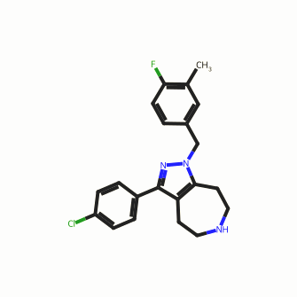 Cc1cc(Cn2nc(-c3ccc(Cl)cc3)c3c2CCNCC3)ccc1F